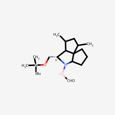 CC1CC(C)C23CCCC2N(BC=O)[C@H](CO[Si](C)(C)C(C)(C)C)C13